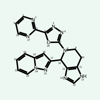 c1cnc(-c2nnc(N3CCc4[nH]cnc4C3c3cc4ccccn4n3)o2)nc1